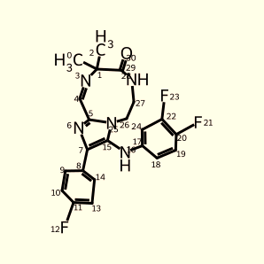 CC1(C)N=Cc2nc(-c3ccc(F)cc3)c(Nc3ccc(F)c(F)c3)n2CCNC1=O